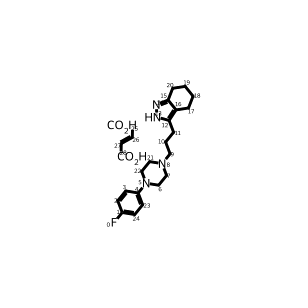 Fc1ccc(N2CCN(CCCc3[nH]nc4c3CCCC4)CC2)cc1.O=C(O)C=CC(=O)O